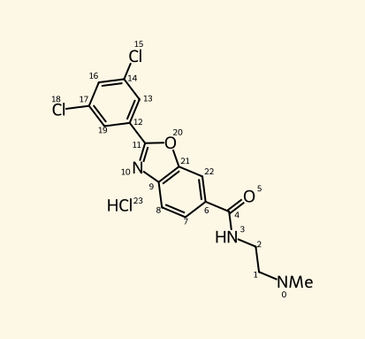 CNCCNC(=O)c1ccc2nc(-c3cc(Cl)cc(Cl)c3)oc2c1.Cl